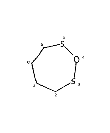 C1CCSOSC1